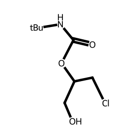 CC(C)(C)NC(=O)OC(CO)CCl